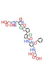 COc1nc(O[C@H]2CCc3c(-c4cccc(C(=O)Nc5ccc(CNC[C@@H](O)CC(=O)O)c(OCc6ccccc6)n5)c4Cl)cccc32)c(Cl)cc1CNC[C@@H](O)CC(=O)O